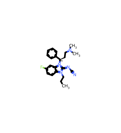 CCCn1c(=NC#N)n([C@H](CCN(C)C)c2ccccc2)c2cc(F)ccc21